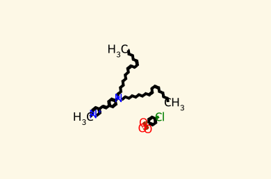 CCCCC/C=C\C/C=C\CCCCCCCCN(CCCCCCCC/C=C\C/C=C\CCCCC)c1ccc(/C=C/c2cc[n+](C)cc2)cc1.O=S(=O)([O-])c1ccc(Cl)cc1